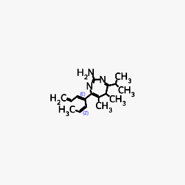 C=C/C=C(\C=C/C)C1=C(C)C(C)C(C(C)C)=NC(N)=N1